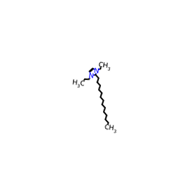 CCCCCCCCCCCCCCC1N(CC)C=CN1CCC